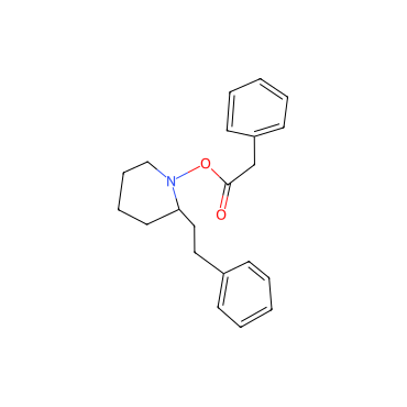 O=C(Cc1ccccc1)ON1CCCCC1CCc1ccccc1